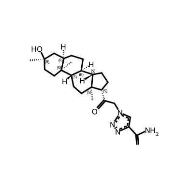 C=C(N)c1cn(CC(=O)[C@H]2CC[C@H]3[C@@H]4CC[C@@H]5C[C@](C)(O)CC[C@]5(C)[C@H]4CC[C@]23C)nn1